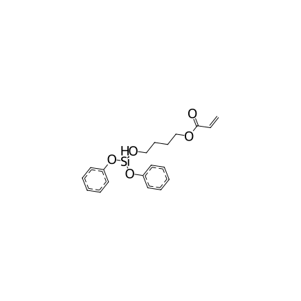 C=CC(=O)OCCCCO[SiH](Oc1ccccc1)Oc1ccccc1